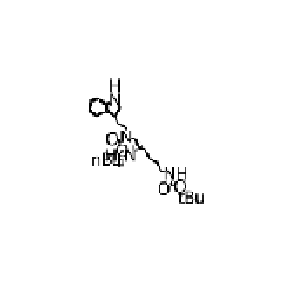 CCCCOC(=O)N(CCc1c[nH]c2ccccc12)C[C@@H](N)CCCCNC(=O)OC(C)(C)C